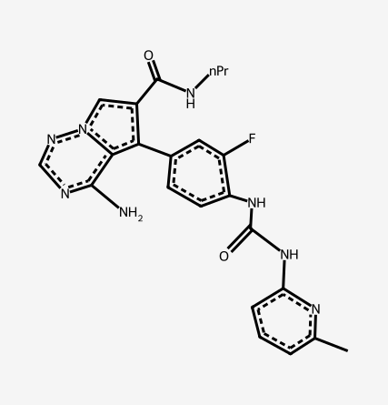 CCCNC(=O)c1cn2ncnc(N)c2c1-c1ccc(NC(=O)Nc2cccc(C)n2)c(F)c1